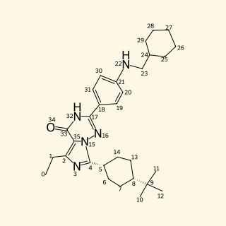 CCc1nc([C@H]2CC[C@@H](C(C)(C)C)CC2)n2nc(-c3ccc(NCC4CCCCC4)cc3)[nH]c(=O)c12